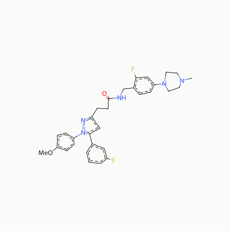 COc1ccc(-n2nc(CCC(=O)NCc3ccc(N4CCN(C)CC4)cc3F)cc2-c2cccc(F)c2)cc1